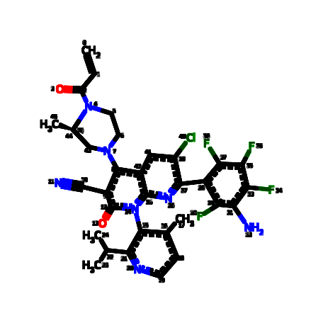 C=CC(=O)N1CCN(c2c(C#N)c(=O)n(-c3c(C)ccnc3C(C)C)c3nc(-c4c(F)c(N)c(F)c(F)c4F)c(Cl)cc23)C[C@H]1C